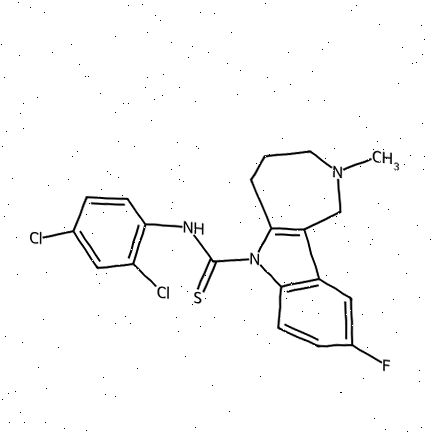 CN1CCCc2c(c3cc(F)ccc3n2C(=S)Nc2ccc(Cl)cc2Cl)C1